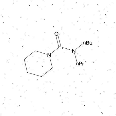 CCCCN(CCC)C(=O)N1CCCCC1